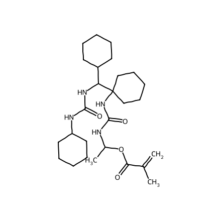 C=C(C)C(=O)OC(C)NC(=O)NC1(C(NC(=O)NC2CCCCC2)C2CCCCC2)CCCCC1